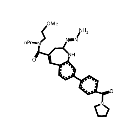 CCCN(CCOC)C(=O)C1=Cc2ccc(-c3ccc(C(=O)N4CCCC4)cc3)cc2NC(N=NN)C1